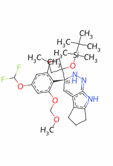 COCOc1cc(OC(F)F)cc(C)c1[C@]1(C2(O[Si](C)(C)C(C)(C)C)CC(C)C2)C=c2c3c([nH]c2=NN1)CCC3